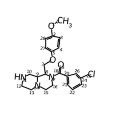 COc1ccc(OCC2C3CNCCN3CCN2C(=O)c2cccc(Cl)c2)cc1